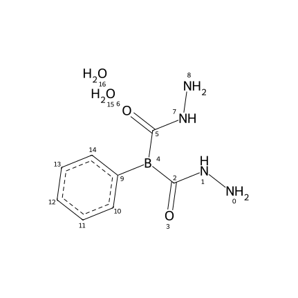 NNC(=O)B(C(=O)NN)c1ccccc1.O.O